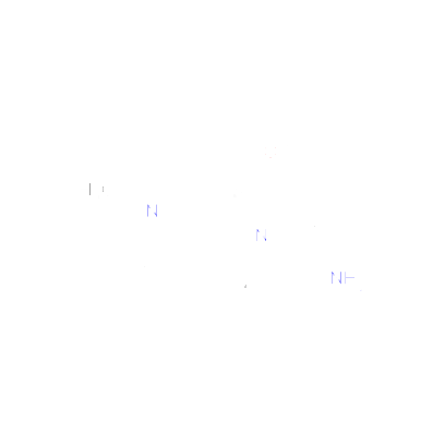 CN1CCCN(CN)C(=O)C1